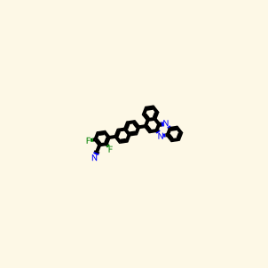 N#Cc1c(F)ccc(-c2ccc3cc(-c4cc5nc6ccccc6nc5c5ccccc45)ccc3c2)c1F